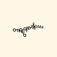 COc1ncc(C2=CCN(c3ccc(-c4ccc(OCc5ccccc5)nc4OCc4ccccc4)cc3F)CC2)c(C)c1F